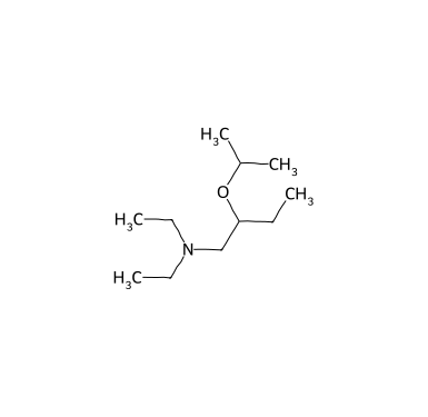 CCC(CN(CC)CC)OC(C)C